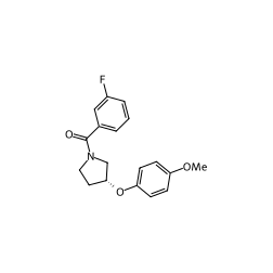 COc1ccc(O[C@@H]2CCN(C(=O)c3cccc(F)c3)C2)cc1